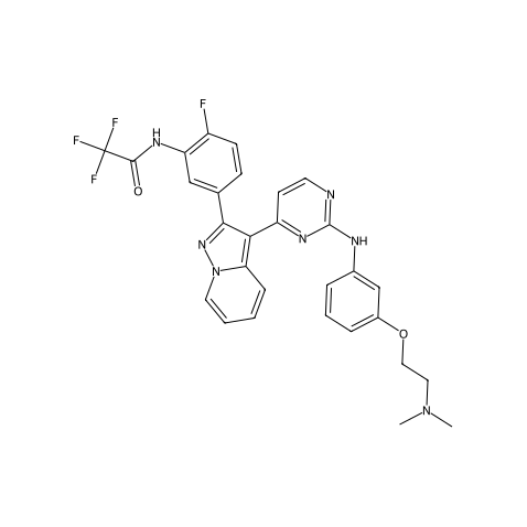 CN(C)CCOc1cccc(Nc2nccc(-c3c(-c4ccc(F)c(NC(=O)C(F)(F)F)c4)nn4ccccc34)n2)c1